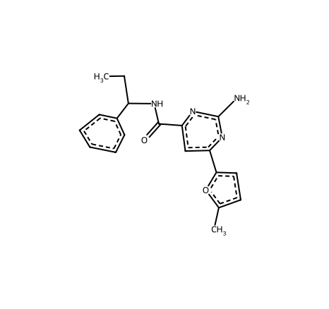 CCC(NC(=O)c1cc(-c2ccc(C)o2)nc(N)n1)c1ccccc1